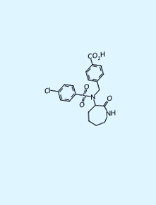 O=C(O)c1ccc(CN(C2CCCCNC2=O)S(=O)(=O)c2ccc(Cl)cc2)cc1